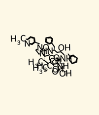 CCC(C)[C@@H](C(=O)N[C@@H](Cc1ccccc1)C[C@@H](O)[C@H](Cc1ccccc1)NC(=O)[C@@H](NC(=O)O)C(C)(C)C)N1CCN(Cc2ccc(C)nc2)C1=O